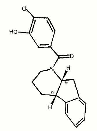 O=C(c1ccc(Cl)c(O)c1)N1CCC[C@H]2c3ccccc3C[C@H]21